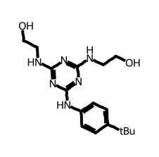 CC(C)(C)c1ccc(Nc2nc(NCCO)nc(NCCO)n2)cc1